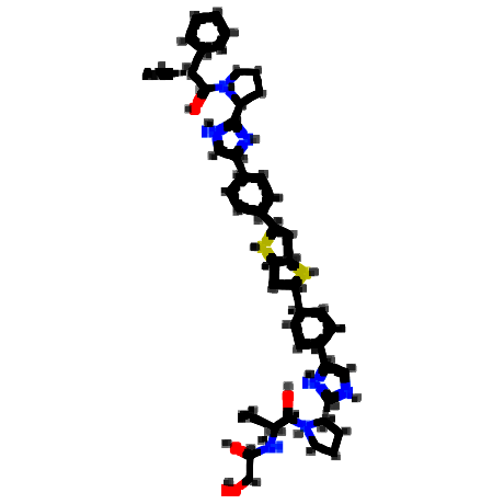 CC(=O)N[C@@H](C(=O)N1CCCC1c1nc(-c2ccc(-c3cc4sc(-c5ccc(-c6cnc([C@@H]7CCCN7C(=O)[C@@H](NC(=O)CO)C(C)C)[nH]6)cc5)cc4s3)cc2)c[nH]1)c1ccccc1